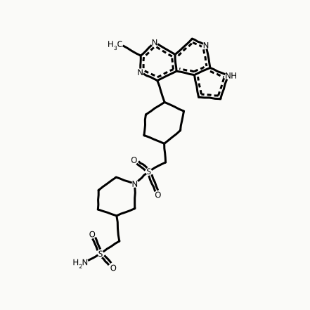 Cc1nc(C2CCC(CS(=O)(=O)N3CCCC(CS(N)(=O)=O)C3)CC2)c2c(cnc3[nH]ccc32)n1